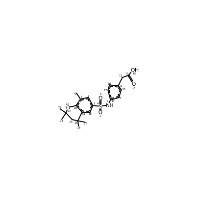 Cc1cc(S(=O)(=O)Nc2ccc(CC(=O)O)cc2)cc2c1OC(C)(C)CC2(C)C